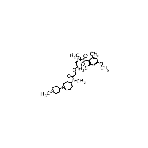 COc1cc(C)c(S(=O)(=O)N(C)CCOCC(=O)N(C)C2CCCN(C3CCN(C)CC3)CC2)c(C)c1